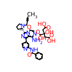 CC#CC(=O)N1CCC[C@H]1c1nc(-c2ccnc(NC(=O)c3ccccc3)c2)c2c(N)nccn12.O=C(O)CC(O)(CC(=O)O)C(=O)O